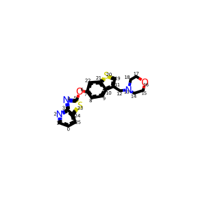 c1cnc2nc(Oc3ccc4c(CN5CCOCC5)csc4c3)sc2c1